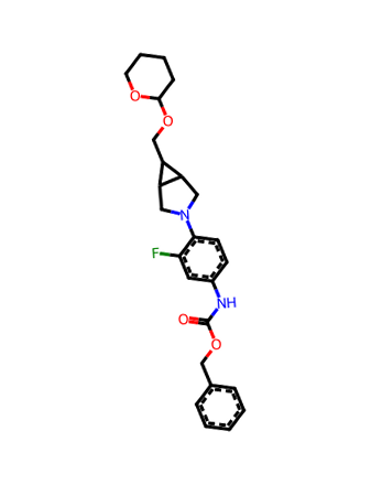 O=C(Nc1ccc(N2CC3C(COC4CCCCO4)C3C2)c(F)c1)OCc1ccccc1